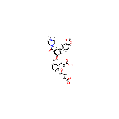 CN1CCN(C(=O)c2cc(OCc3cccc(OCCCC(=O)O)c3CCC(=O)O)cc(-c3ccc4c(c3)OCO4)c2)CC1